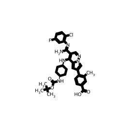 Cc1cc(C(=O)O)ccc1-c1cc2c(N[C@H]3CC[C@H](NC(=O)OC(C)(C)C)CC3)c(C(N)=Nc3cc(F)ccc3Cl)cnn2c1